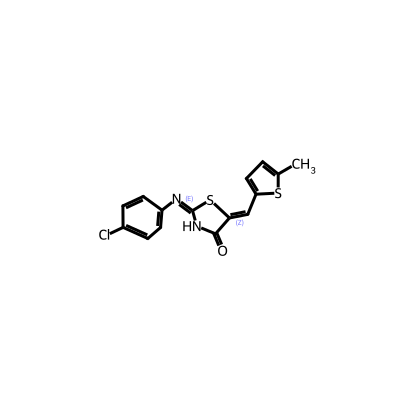 Cc1ccc(/C=C2\S/C(=N/c3ccc(Cl)cc3)NC2=O)s1